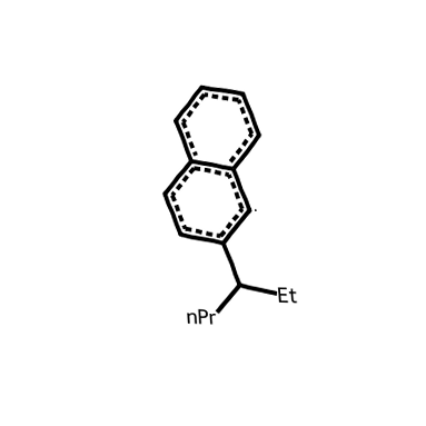 CCCC(CC)c1[c]c2ccccc2cc1